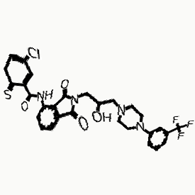 O=C(Nc1cccc2c1C(=O)N(CC(O)CN1CCN(c3cccc(C(F)(F)F)c3)CC1)C2=O)C1=CC(Cl)=CCC1=S